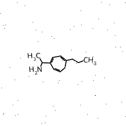 CCCC1=CC=C(C(C)N)C=CC1